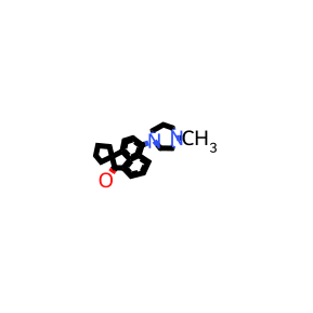 CN1CCCN(c2ccc3c4c(cccc24)C(=O)C32CCCC2)CC1